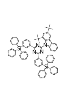 CC(C)(C)c1cc(C(C)(C)C)c2c(c1)c1ccccc1n2-c1nc(-c2cccc([Si](c3ccccc3)(c3ccccc3)c3ccccc3)c2)nc(-c2cccc([Si](c3ccccc3)(c3ccccc3)c3ccccc3)c2)n1